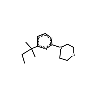 CCC(C)(C)c1ccnc(N2CCOCC2)n1